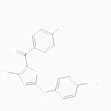 CCOC(=O)c1ccc(Nc2nc(N)c(C(=O)c3ccc(C#N)cc3)s2)cc1